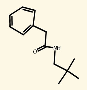 CC(C)(C)CNC(=O)Cc1ccccc1